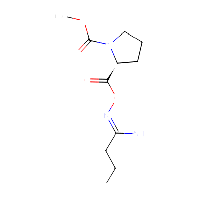 CCCCCCCCCCCCC(N)=NOC(=O)[C@@H]1CCCN1C(=O)OC(C)(C)C